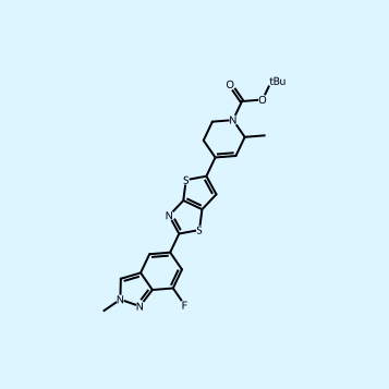 CC1C=C(c2cc3sc(-c4cc(F)c5nn(C)cc5c4)nc3s2)CCN1C(=O)OC(C)(C)C